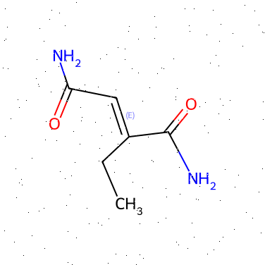 CC/C(=C\C(N)=O)C(N)=O